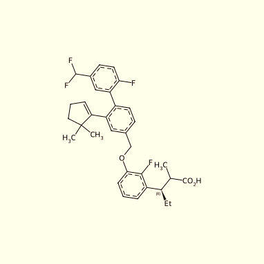 CC[C@@H](c1cccc(OCc2ccc(-c3cc(C(F)F)ccc3F)c(C3=CCCC3(C)C)c2)c1F)C(C)C(=O)O